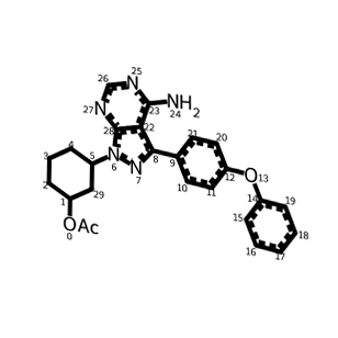 CC(=O)OC1CCCC(n2nc(-c3ccc(Oc4ccccc4)cc3)c3c(N)ncnc32)C1